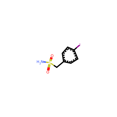 NS(=O)(=O)Cc1ccc(I)cc1